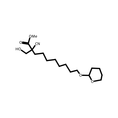 COC(=O)C(C#N)(CO)CCCCCCCCOC1CCCCO1